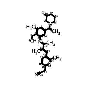 C=C(c1cc(C)c(CC)c(/N=C(C)/C(C)=C/c2ccc(CC#N)nc2C)c1)N1CCCC(F)C1